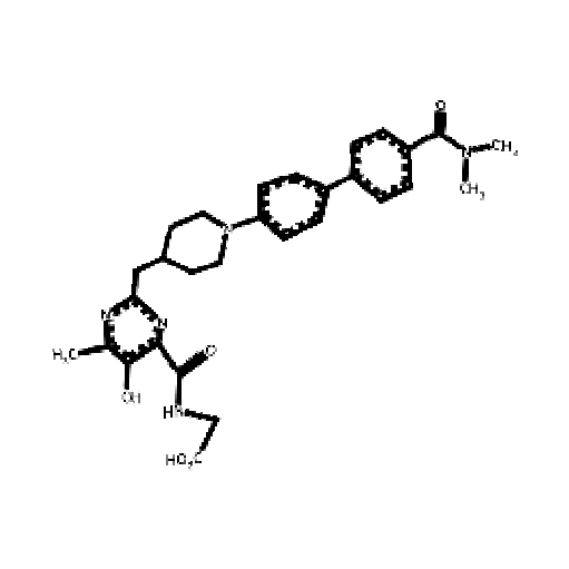 Cc1nc(CC2CCN(c3ccc(-c4ccc(C(=O)N(C)C)cc4)cc3)CC2)nc(C(=O)NCC(=O)O)c1O